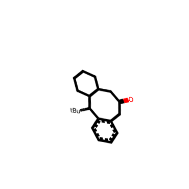 CC(C)(C)C1c2ccccc2CC(=O)CC2CCCCC21